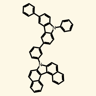 c1ccc(-c2ccc3c(c2)c2cc(-c4cccc(-n5c6ccc7ccccc7c6c6c7ccccc7ccc65)c4)ccc2n3-c2ccccc2)cc1